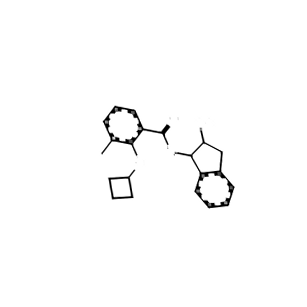 Cc1cccc(C(=O)NC2c3ccccc3CC2C(=O)O)c1OC1CCC1